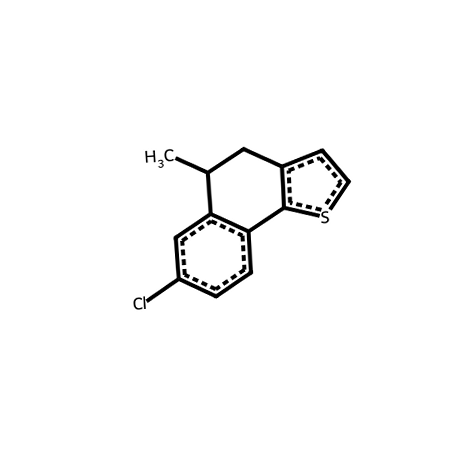 CC1Cc2ccsc2-c2ccc(Cl)cc21